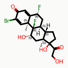 C[C@]12C=C(Br)C(=O)C=C1[C@H](F)C[C@H]1[C@@H]3CC[C@](O)(C(=O)CO)[C@@]3(C)C[C@H](O)[C@@]12F